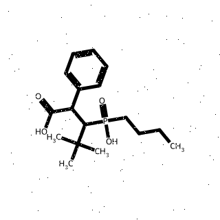 CCCCP(=O)(O)C(C(C(=O)O)c1ccccc1)C(C)(C)C